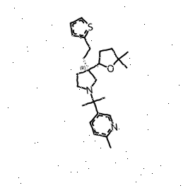 Cc1ccc(C(C)(C)N2CC[C@@](CCc3cccs3)(C3CCC(C)(C)O3)C2)cn1